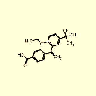 C=C(c1ccc(C(=O)O)cc1)c1cc(C(C)(C)C)ccc1OCC